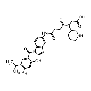 CC(C)c1cc(C(=O)n2ccc3cc(NC(=O)CCC(=O)N(CC(=O)O)C4CCCNC4)ccc32)c(O)cc1O